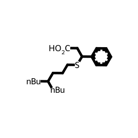 CCCCC(CCCC)CCCSC(CC(=O)O)c1ccccc1